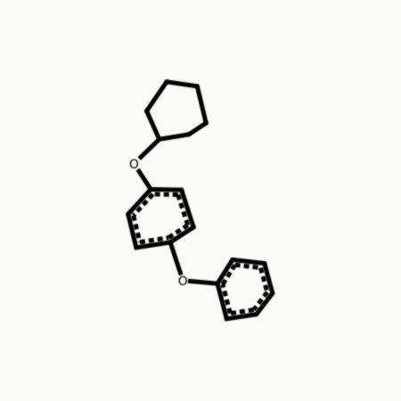 c1ccc(Oc2ccc(OC3CCCCC3)cc2)cc1